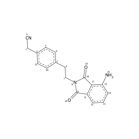 N#CCc1ccc(CCN2C(=O)c3cccc(N)c3C2=O)cc1